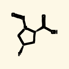 O=NN1C[C@@H](F)C[C@H]1C(=O)O